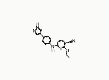 CCOc1nc(Nc2ccc(-c3cn[nH]c3)cc2)ccc1C#N